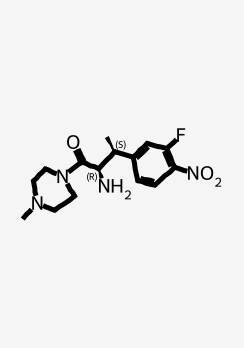 C[C@@H](c1ccc([N+](=O)[O-])c(F)c1)[C@@H](N)C(=O)N1CCN(C)CC1